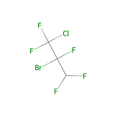 FC(F)C(F)(Br)C(F)(F)Cl